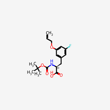 C=CCOc1cc(F)cc(C[C@H](NC(=O)OC(C)(C)C)C(=O)O)c1